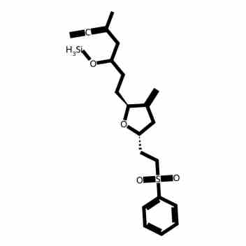 C=C=C(C)CC(CC[C@@H]1O[C@@H](CCS(=O)(=O)c2ccccc2)CC1=C)O[SiH3]